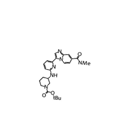 CNC(=O)c1ccn2c(-c3cccc(NC4CCCN(C(=O)OC(C)(C)C)C4)n3)cnc2c1